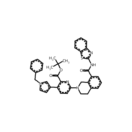 CC(C)(C)OC(=O)c1nc(N2CCc3cccc(C(=O)Nc4nc5ccccc5s4)c3C2)ccc1-c1ccn(Cc2ccccc2)c1